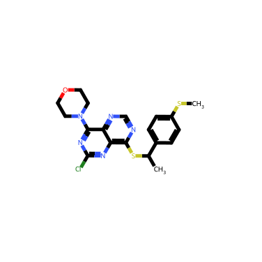 CSc1ccc(C(C)Sc2ncnc3c(N4CCOCC4)nc(Cl)nc23)cc1